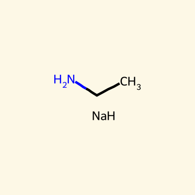 CCN.[NaH]